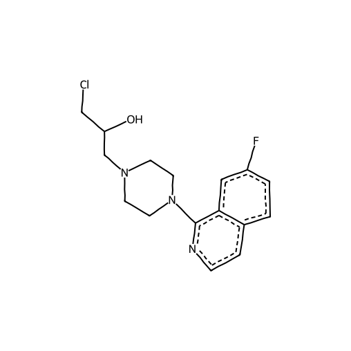 OC(CCl)CN1CCN(c2nccc3ccc(F)cc23)CC1